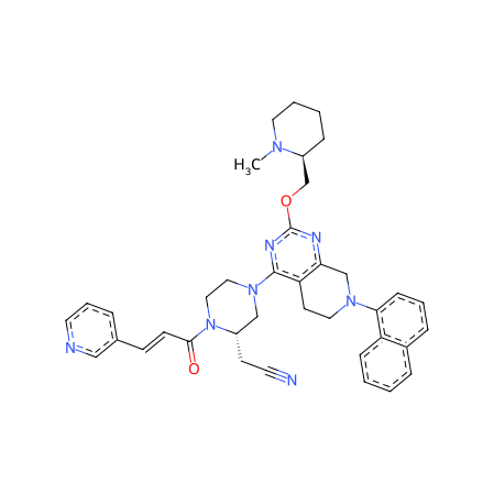 CN1CCCC[C@H]1COc1nc2c(c(N3CCN(C(=O)/C=C/c4cccnc4)[C@@H](CC#N)C3)n1)CCN(c1cccc3ccccc13)C2